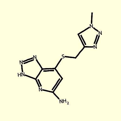 Cn1cc(CSc2cc(N)nc3[nH]nnc23)nn1